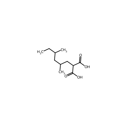 CCC(C)CC(C)CC(C(=O)O)C(=O)O